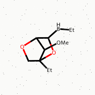 CCBC1OC2(CC)COC1C2OC